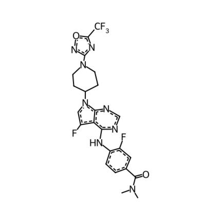 CN(C)C(=O)c1ccc(Nc2ncnc3c2c(F)cn3C2CCN(c3noc(C(F)(F)F)n3)CC2)c(F)c1